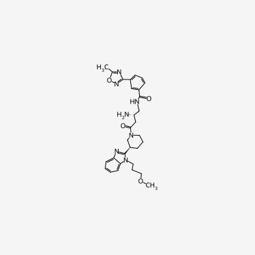 COCCCn1c([C@@H]2CCCN(C(=O)C[C@H](N)CNC(=O)c3cccc(-c4noc(C)n4)c3)C2)nc2ccccc21